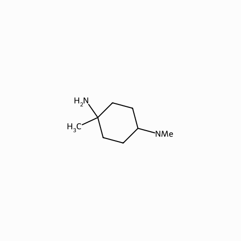 CNC1CCC(C)(N)CC1